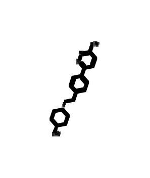 CCCc1ccc(-c2ccc(CC[C@H]3CC[C@H](CCC)CC3)cc2)nn1